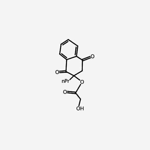 CCCC1(OC(=O)CO)CC(=O)c2ccccc2C1=O